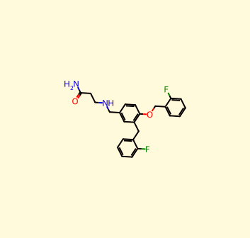 NC(=O)CCNCc1ccc(OCc2ccccc2F)c(Cc2ccccc2F)c1